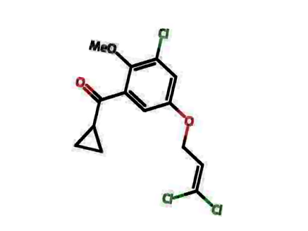 COc1c(Cl)cc(OCC=C(Cl)Cl)cc1C(=O)C1CC1